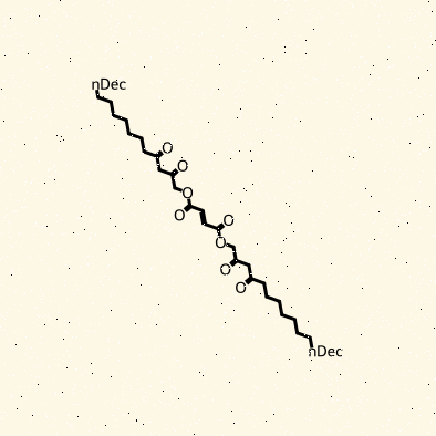 CCCCCCCCCCCCCCCCCC(=O)CC(=O)COC(=O)/C=C/C(=O)OCC(=O)CC(=O)CCCCCCCCCCCCCCCCC